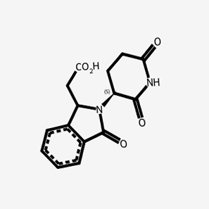 O=C(O)CC1c2ccccc2C(=O)N1[C@H]1CCC(=O)NC1=O